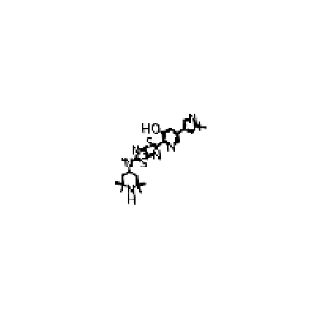 CN(c1nc2sc(-c3ncc(-c4cnn(C)c4)cc3O)nc2s1)C1CC(C)(C)NC(C)(C)C1